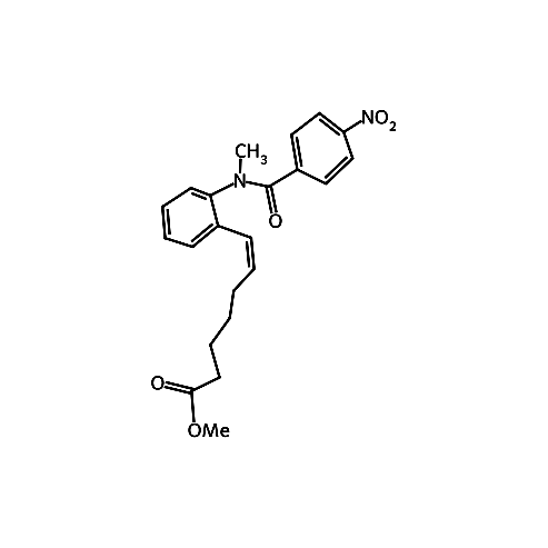 COC(=O)CCCC/C=C\c1ccccc1N(C)C(=O)c1ccc([N+](=O)[O-])cc1